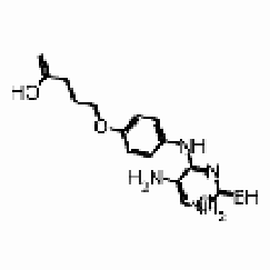 B=C(Cl)/N=C(Nc1ccc(OCCCC(=C)O)cc1)\C(N)=C/N